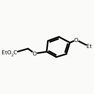 CCOC(=O)COc1ccc(OCC)cc1